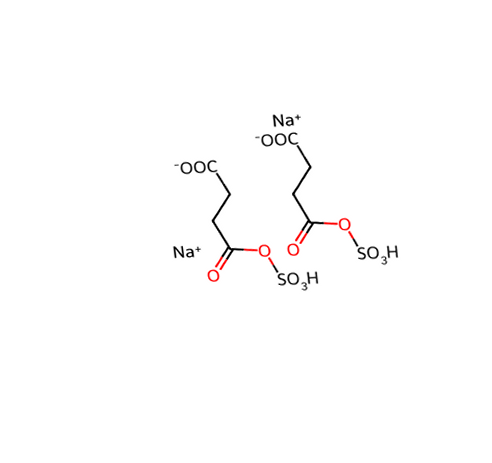 O=C([O-])CCC(=O)OS(=O)(=O)O.O=C([O-])CCC(=O)OS(=O)(=O)O.[Na+].[Na+]